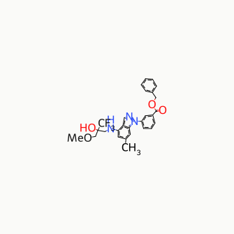 COCC(O)(CNc1cc(C)cc2c1cnn2-c1cccc(C(=O)OCc2ccccc2)c1)C(F)(F)F